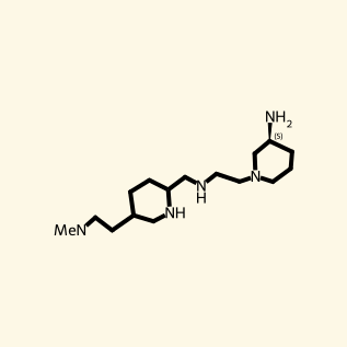 CNCCC1CCC(CNCCN2CCC[C@H](N)C2)NC1